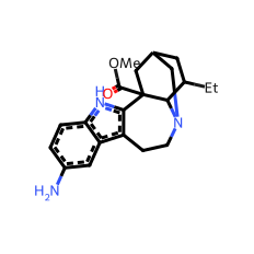 CCC1CC2CN3CCc4c([nH]c5ccc(N)cc45)C(C(=O)OC)(C2)C13